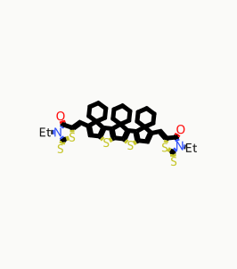 CCN1C(=O)/C(=C/C2=Cc3sc4c(c3C23CCCCC3)C2(CCCCC2)c2c-4sc3c2C2(CCCCC2)C(/C=C2\SC(=S)N(CC)C2=O)=C3)SC1=S